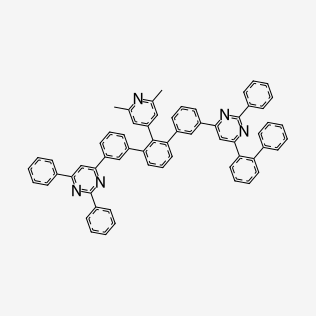 Cc1cc(-c2c(-c3cccc(-c4cc(-c5ccccc5)nc(-c5ccccc5)n4)c3)cccc2-c2cccc(-c3cc(-c4ccccc4-c4ccccc4)nc(-c4ccccc4)n3)c2)cc(C)n1